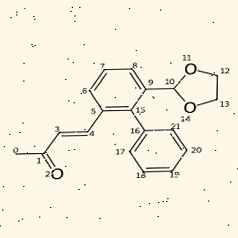 CC(=O)C=Cc1cccc(C2OCCO2)c1-c1ccccc1